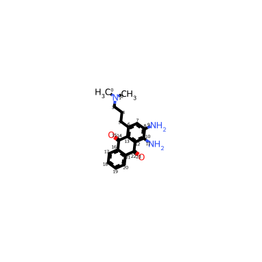 CN(C)CCCc1cc(N)c(N)c2c1C(=O)c1ccccc1C2=O